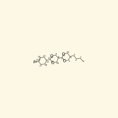 CCCCC1COC(C2COC(C3CC=C(F)CC3)OC2)OC1